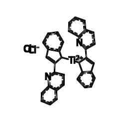 C1=C(c2ccc3ccccc3n2)[CH]([Ti+2][CH]2C(c3ccc4ccccc4n3)=Cc3ccccc32)c2ccccc21.[Cl-].[Cl-]